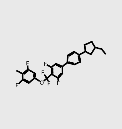 CCC1CCC(c2ccc(-c3cc(F)c(C(F)(F)Oc4cc(F)c(C)c(F)c4)c(F)c3)cc2)C1